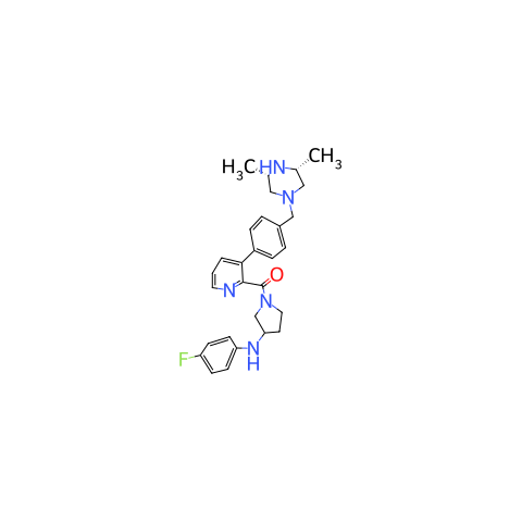 C[C@@H]1CN(Cc2ccc(-c3cccnc3C(=O)N3CCC(Nc4ccc(F)cc4)C3)cc2)C[C@H](C)N1